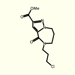 COC(=O)c1cc2n(n1)CCCN(CCCCl)C2=O